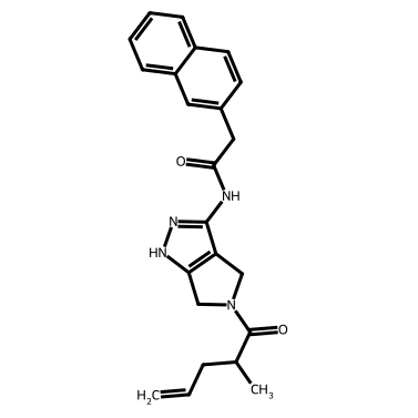 C=CCC(C)C(=O)N1Cc2[nH]nc(NC(=O)Cc3ccc4ccccc4c3)c2C1